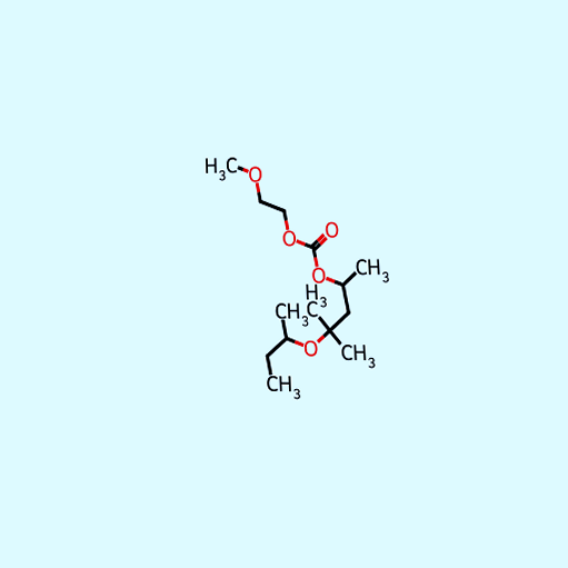 CCC(C)OC(C)(C)CC(C)OC(=O)OCCOC